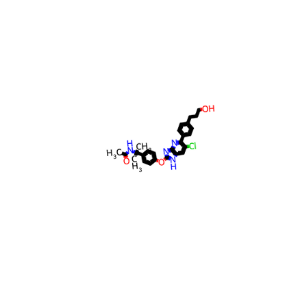 CC(=O)NC(C)(C)c1ccc(Oc2nc3nc(-c4ccc(CCCO)cc4)c(Cl)cc3[nH]2)cc1